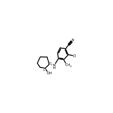 Cc1c(N[C@H]2CCCC[C@@H]2O)ccc(C#N)c1Cl